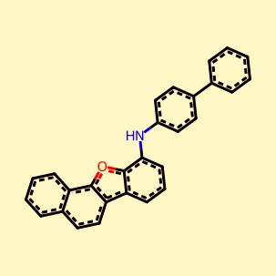 c1ccc(-c2ccc(Nc3cccc4c3oc3c5ccccc5ccc43)cc2)cc1